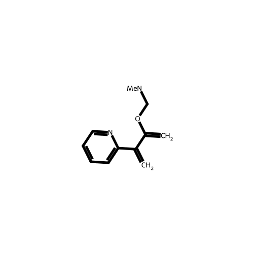 C=C(OCNC)C(=C)c1ccccn1